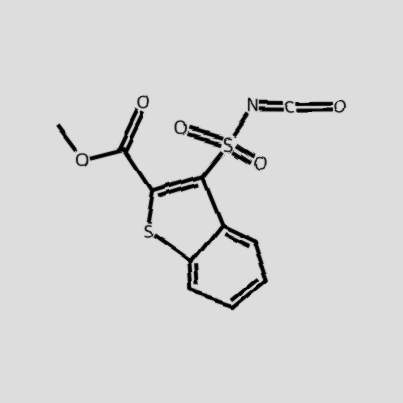 COC(=O)c1sc2ccccc2c1S(=O)(=O)N=C=O